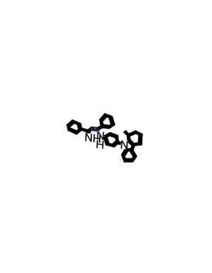 CC1CC=Cc2c1n(-c1ccc(N/C(=C\C(=N)c3ccccc3)c3ccccc3)cc1)c1ccccc21